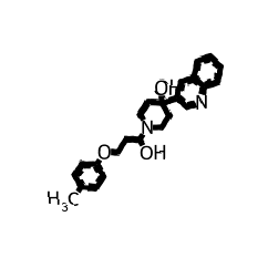 Cc1ccc(OCCC(O)N2CCC(O)(c3cnc4ccccc4c3)CC2)cc1